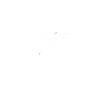 O=C(O)N1C[C@H](F)C[C@@H]1CO